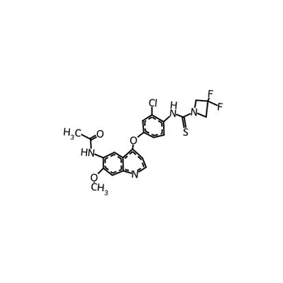 COc1cc2nccc(Oc3ccc(NC(=S)N4CC(F)(F)C4)c(Cl)c3)c2cc1NC(C)=O